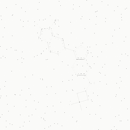 Cc1nc2ncc(-c3ccn4nc(NC5CC(C)(O)C5)ncc34)cc2n1C(C)C